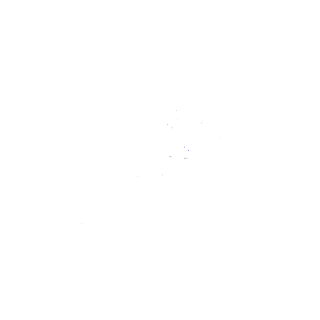 C=CCCc1ccc2c(c1)N(C)C(CSF)N2C